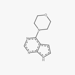 c1nc(N2CCOCC2)c2cc[nH]c2n1